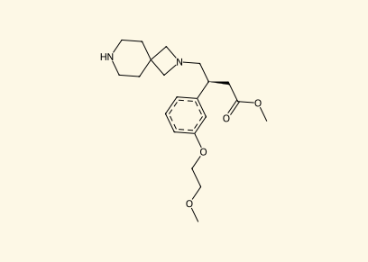 COCCOc1cccc([C@H](CC(=O)OC)CN2CC3(CCNCC3)C2)c1